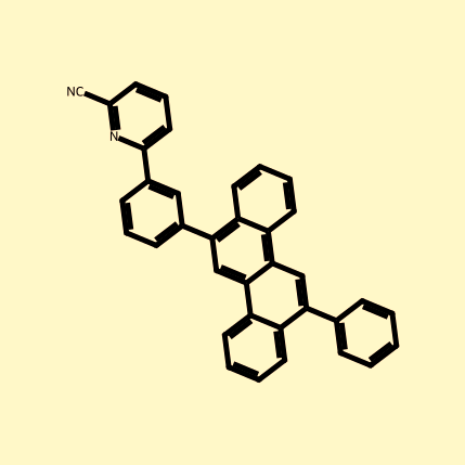 N#Cc1cccc(-c2cccc(-c3cc4c5ccccc5c(-c5ccccc5)cc4c4ccccc34)c2)n1